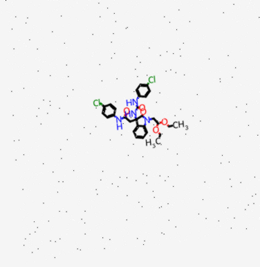 CCOC(CN1C(=O)C(CC(=O)Nc2ccc(Cl)cc2)(NC(=O)Nc2ccc(Cl)cc2)c2ccccc21)OCC